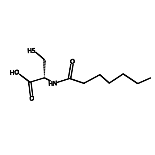 CCCCCCC(=O)N[C@@H](CS)C(=O)O